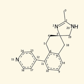 CC1=N[C@]2(CCc3c(cccc3-c3ccncc3)C2)CN1